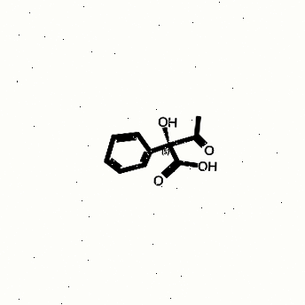 CC(=O)[C@](O)(C(=O)O)c1ccccc1